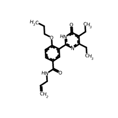 C=CCNC(=O)c1ccc(OCCC)c(-c2nc(CC)c(CC)c(=O)[nH]2)c1